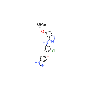 COCCOc1ccc2ncnc(Nc3ccc(Oc4ccc5[nH]cnc5c4)c(Cl)c3)c2c1